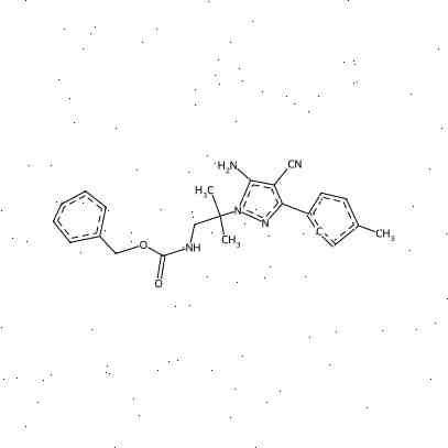 Cc1ccc(-c2nn(C(C)(C)CNC(=O)OCc3ccccc3)c(N)c2C#N)cc1